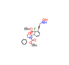 CC(C)(C)OC(=O)[N+]1=C(C2C=CC=C(C#CCNO)C2(F)C(=O)OC(C)(C)C)OC[C@H]1c1ccccc1